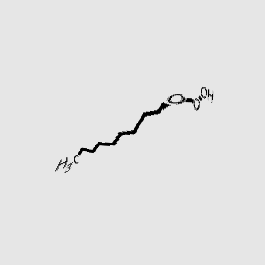 CC[CH]CCCCCCOOO